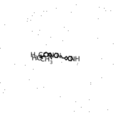 CC(C)(O)c1ccc2cn(C3CCN(CCC4CC5(CCNCC5)C4)CC3)nc2c1